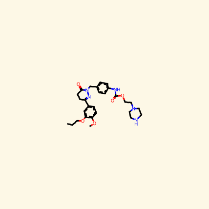 CCCOc1cc(C2=NN(Cc3ccc(NC(=O)OCCN4CCNCC4)cc3)C(=O)CC2)ccc1OC